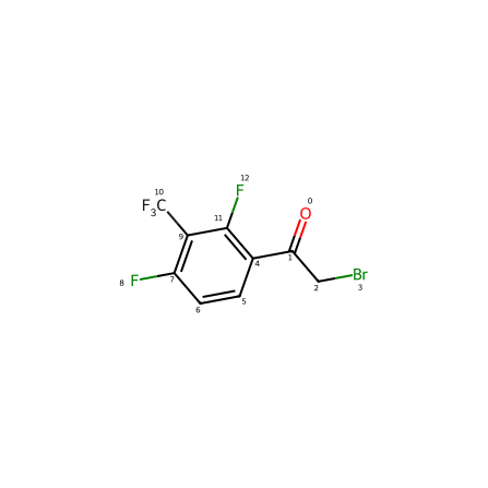 O=C(CBr)c1ccc(F)c(C(F)(F)F)c1F